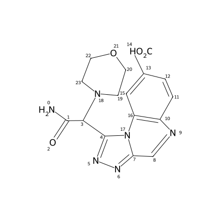 NC(=O)C(c1nnc2cnc3ccc(C(=O)O)cc3n12)N1CCOCC1